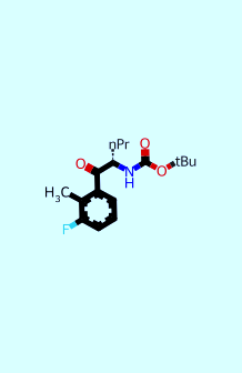 CCC[C@H](NC(=O)OC(C)(C)C)C(=O)c1cccc(F)c1C